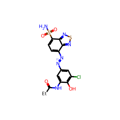 CCC(=O)Nc1cc(/N=N/c2ccc(S(N)(=O)=O)c3nsnc23)cc(Cl)c1O